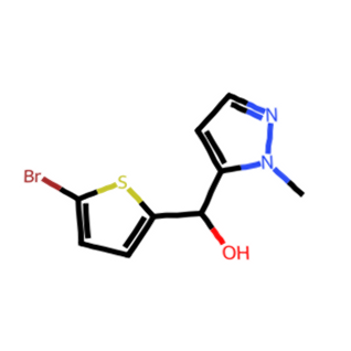 Cn1nccc1C(O)c1ccc(Br)s1